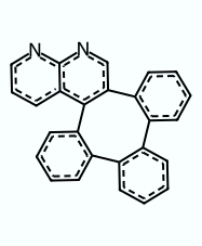 c1ccc2c(c1)-c1ccccc1-c1cnc3ncccc3c1-c1ccccc1-2